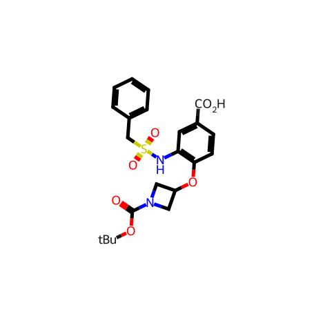 CC(C)(C)OC(=O)N1CC(Oc2ccc(C(=O)O)cc2NS(=O)(=O)Cc2ccccc2)C1